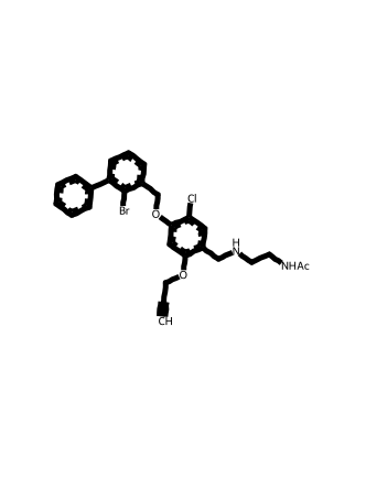 C#CCOc1cc(OCc2cccc(-c3ccccc3)c2Br)c(Cl)cc1CNCCNC(C)=O